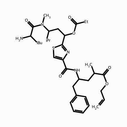 C=CCOC(=O)C(C)CC(Cc1ccccc1)NC(=O)c1csc(C(CC(C(C)C)N(C)C(=O)C(N)C(C)CC)OC(=O)CC)n1